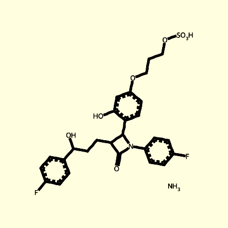 N.O=C1C(CCC(O)c2ccc(F)cc2)C(c2ccc(OCCCOS(=O)(=O)O)cc2O)N1c1ccc(F)cc1